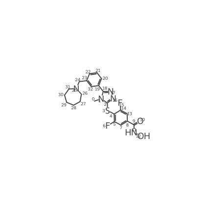 Cn1c(Sc2c(F)cc(C(=O)NO)cc2F)nnc1-c1cccc(CN2CCCCCC2)c1